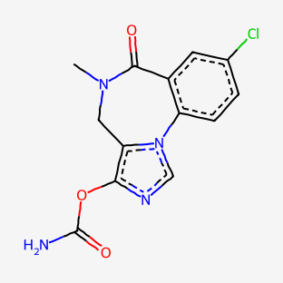 CN1Cc2c(OC(N)=O)ncn2-c2ccc(Cl)cc2C1=O